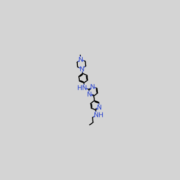 CCCNc1ccc(-c2ccnc(Nc3ccc(N4CCN(C)CC4)cc3)n2)cn1